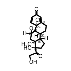 C[C@]12C=CC(=O)C=C1CC[C@H]1[C@@H]3CC[C@](O)(C(=O)CO)[C@@]3(C)C[C@@H]3O[C@@]312